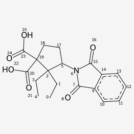 CCC1(CC)C(N2C(=O)c3ccccc3C2=O)CCC1(C(=O)O)C(=O)O